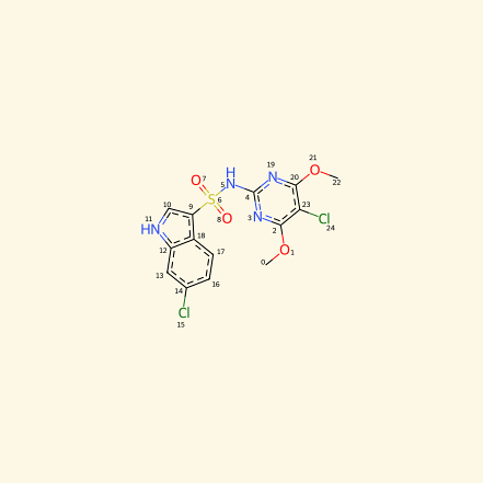 COc1nc(NS(=O)(=O)c2c[nH]c3cc(Cl)ccc23)nc(OC)c1Cl